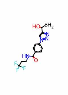 BC(O)c1cn(-c2ccc(C(=O)NCCC(F)(F)F)cc2)nn1